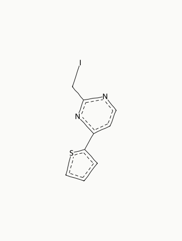 ICc1nccc(-c2cccs2)n1